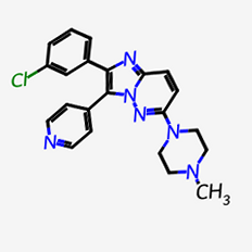 CN1CCN(c2ccc3nc(-c4cccc(Cl)c4)c(-c4ccncc4)n3n2)CC1